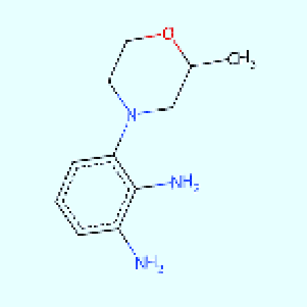 CC1CN(c2cccc(N)c2N)CCO1